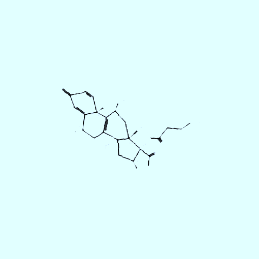 CCCC(=O)O[C@]1(C(C)=O)[C@@H](C)C[C@H]2C3=C([C@@H](O)C[C@@]21C)[C@@]1(C)C=CC(=O)C=C1[C@@H](C)C3